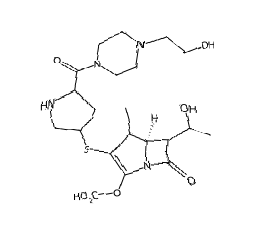 CC(O)C1C(=O)N2C(OC(=O)O)=C(SC3CNC(C(=O)N4CCN(CCO)CC4)C3)C(C)[C@@H]12